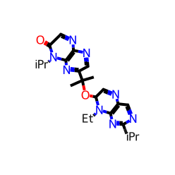 CCN1c2nc(C(C)C)ncc2N=CC1OC(C)(C)c1cnc2ncc(=O)n(C(C)C)c2n1